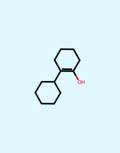 OC1=C(C2CCCCC2)CCCC1